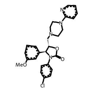 COc1cccc([C@H]2[C@H](CN3CCN(c4ccccn4)CC3)OC(=O)N2c2ccc(Cl)cc2)c1